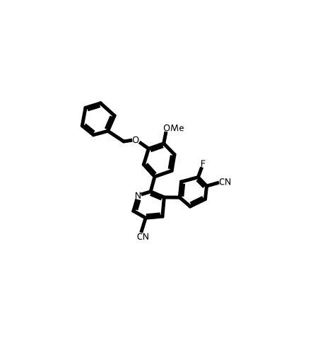 COc1ccc(-c2ncc(C#N)cc2-c2ccc(C#N)c(F)c2)cc1OCc1ccccc1